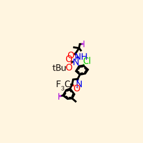 Cc1cc(I)cc(C2(C(F)(F)F)CC(c3ccc(Cl)c(N(NC(=O)C(C)(C)CI)C(=O)OC(C)(C)C)c3)=NO2)c1